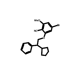 COc1cc(Br)cc(OCC(c2ccccc2)C2CCCC2)c1C#N